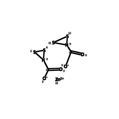 O=C([O-])n1ss1.O=C([O-])n1ss1.[Zn+2]